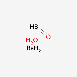 B=O.O.[BaH2]